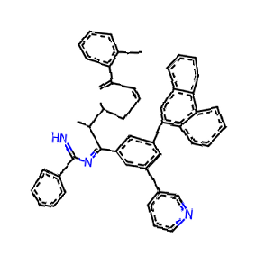 C=C(/C=C\CC(C)C(C)/C(=N\C(=N)c1ccccc1)c1cc(-c2cccnc2)cc(-c2cc3ccccc3c3ccccc23)c1)c1ccccc1C